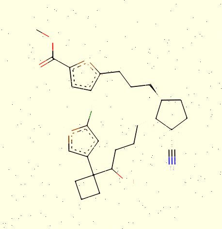 COC(=O)c1ccc(CCC[C@H]2CC[C@H](C#N)[C@@H]2CCCC(O)C2(c3csc(F)c3)CCC2)s1